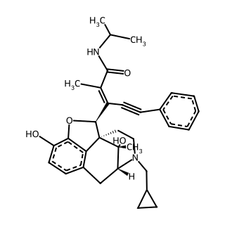 C/C(C(=O)NC(C)C)=C(/C#Cc1ccccc1)[C@@H]1Oc2c(O)ccc3c2[C@@]12CCN(CC1CC1)[C@H](C3)[C@@]2(C)O